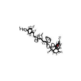 CC1CCC2C(C)[C@H](OC(=O)CCC(=O)NCCc3ccc(O)cc3)O[C@@H]3O[C@@]4(C)CCC1[C@@]23OO4